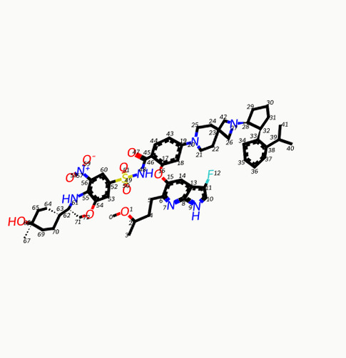 COC(C)CCc1nc2[nH]cc(F)c2cc1Oc1cc(N2CCC3(CC2)CN([C@H]2CCC[C@H]2c2ccccc2C(C)C)C3)ccc1C(=O)NS(=O)(=O)c1cc2c(c([N+](=O)[O-])c1)N[C@@H]([C@H]1CC[C@](C)(O)CC1)CO2